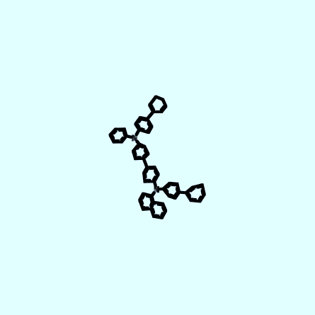 C1=CC(c2ccc(N(c3ccccc3)c3ccc(-c4ccc(N(c5ccc(-c6ccccc6)cc5)c5cccc6ccccc56)cc4)cc3)cc2)=CCC1